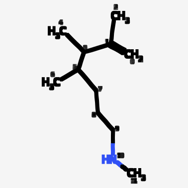 C=C(C)C(C)C(C)CCCNC